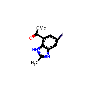 COC(=O)c1cc(I)cc2nc(C)[nH]c12